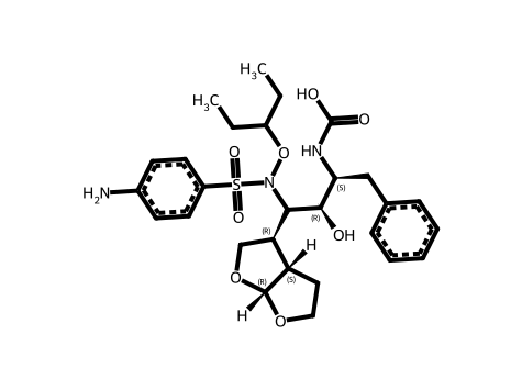 CCC(CC)ON(C([C@H](O)[C@H](Cc1ccccc1)NC(=O)O)[C@@H]1CO[C@H]2OCC[C@H]21)S(=O)(=O)c1ccc(N)cc1